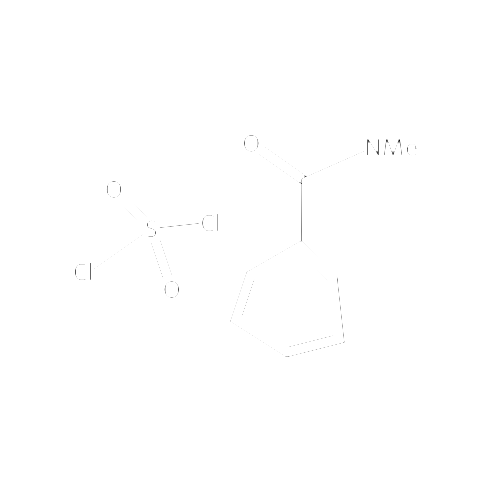 CNC(=O)c1ccccc1.O=S(=O)(Cl)Cl